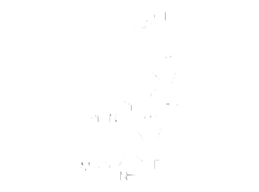 COc1cc(-c2ccc(C(=O)Oc3cccc(C(CP(C)(=O)O)C4CC4)c3)cc2CN(C(C)C)C(C)C)c(F)cn1